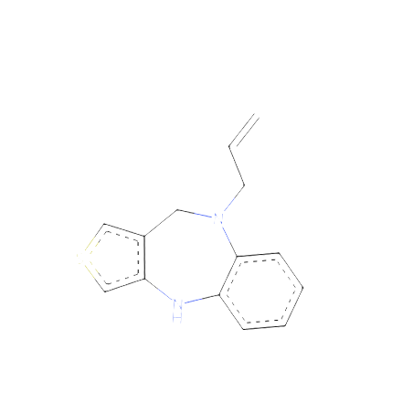 C=CCN1Cc2cscc2Nc2ccccc21